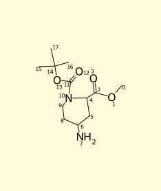 COC(=O)C1CC(N)CCN1C(=O)OC(C)(C)C